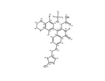 Cc1c(-c2c([C@H](OC(C)(C)C)C(=O)O)n(C)c(=O)c3cc(OCc4ccc(Cl)s4)ccc23)cc(F)c2c1CCCO2